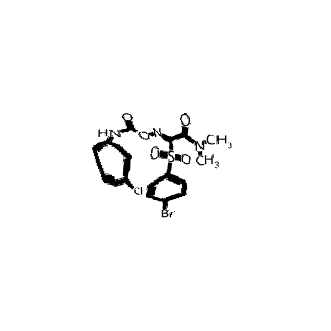 CN(C)C(=O)C(=NOC(=O)Nc1cccc(Cl)c1)S(=O)(=O)c1ccc(Br)cc1